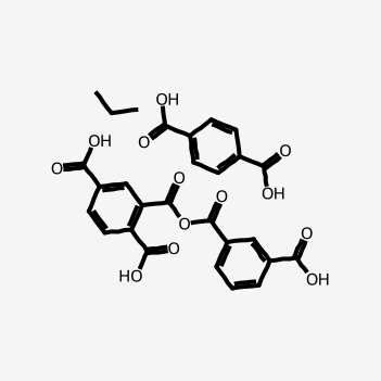 CCC.O=C(O)c1ccc(C(=O)O)cc1.O=C(O)c1cccc(C(=O)OC(=O)c2cc(C(=O)O)ccc2C(=O)O)c1